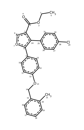 CCOC(=O)c1noc(-c2ccc(OCc3ccccc3C)cc2)c1-c1ccc(Cl)cc1